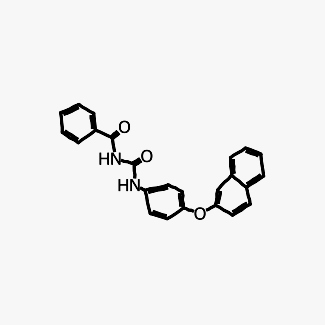 O=C(NC(=O)c1ccccc1)Nc1ccc(Oc2ccc3ccccc3c2)cc1